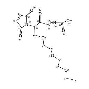 CCOCCOCCOCC(C(=O)NNC(=O)O)N1C(=O)C=CC1=O